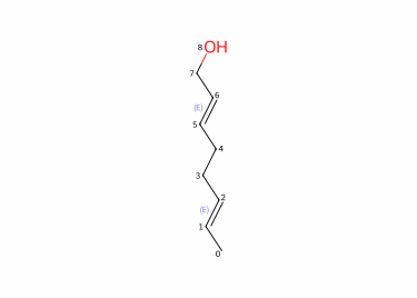 C/C=C/CC/C=C/CO